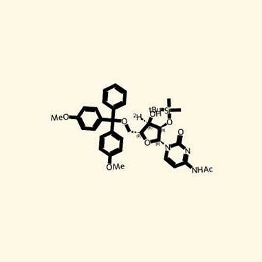 [2H][C@@]1(O)[C@@H](COC(c2ccccc2)(c2ccc(OC)cc2)c2ccc(OC)cc2)O[C@@H](n2ccc(NC(C)=O)nc2=O)[C@@H]1O[Si](C)(C)C(C)(C)C